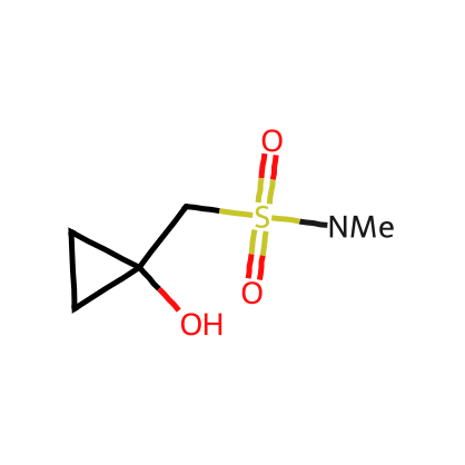 CNS(=O)(=O)CC1(O)CC1